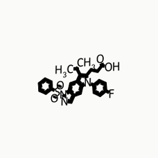 CC(C)c1c(CCC(=O)O)n(-c2ccc(F)cc2)c2cc3cnn(S(=O)(=O)c4ccccc4)c3cc12